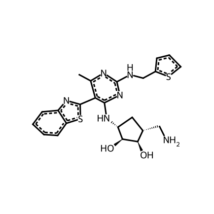 Cc1nc(NCc2cccs2)nc(N[C@@H]2C[C@H](CN)[C@@H](O)[C@H]2O)c1-c1nc2ccccc2s1